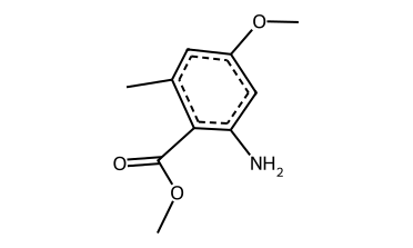 COC(=O)c1c(C)cc(OC)cc1N